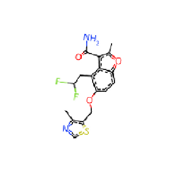 Cc1ncsc1COc1ccc2oc(C)c(C(N)=O)c2c1CC(F)F